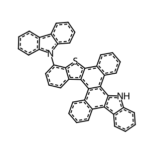 c1ccc2c(c1)[nH]c1c2c2ccccc2c2c1c1ccccc1c1sc3c(-n4c5ccccc5c5ccccc54)cccc3c12